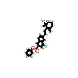 CC1=C(/C=C/c2ccc3cc(C(=O)Oc4ccccc4)cc(F)c3c2)C(C)(C)CCC1